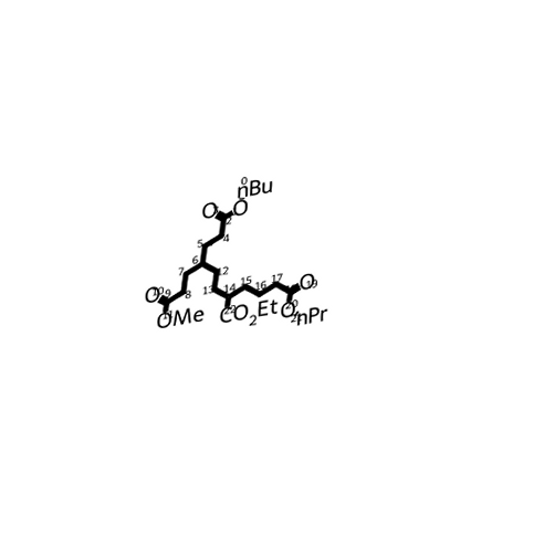 CCCCOC(=O)C[CH]C(CCC(=O)OC)CCC(CCCC(=O)OCCC)C(=O)OCC